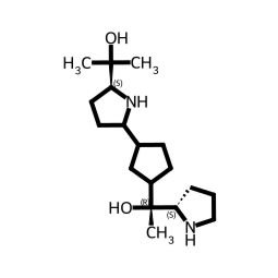 CC(C)(O)[C@@H]1CCC(C2CCC([C@@](C)(O)[C@@H]3CCCN3)C2)N1